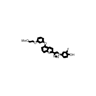 COCCOc1cccc(Oc2cccc3nc(-c4cn(-c5ccc(O)c(F)c5)nn4)ccc23)c1